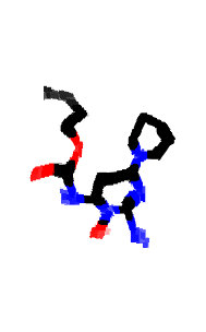 COCCOC(=O)Nc1cc(N2CC=CCC2)nc(N)[n+]1[O-]